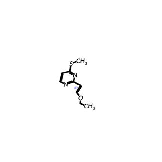 CCO/C=C/c1nccc(SC)n1